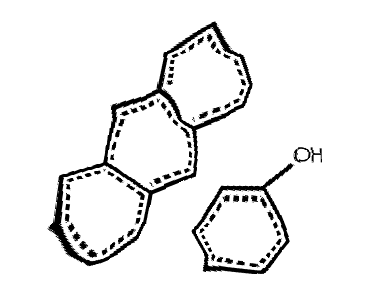 Oc1ccccc1.c1ccc2cc3ccccc3cc2c1